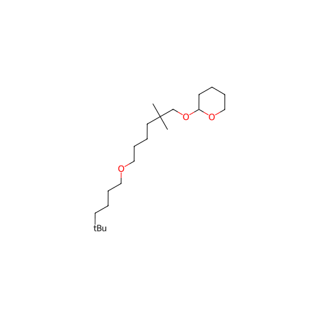 CC(C)(C)CCCCOCCCCC(C)(C)COC1CCCCO1